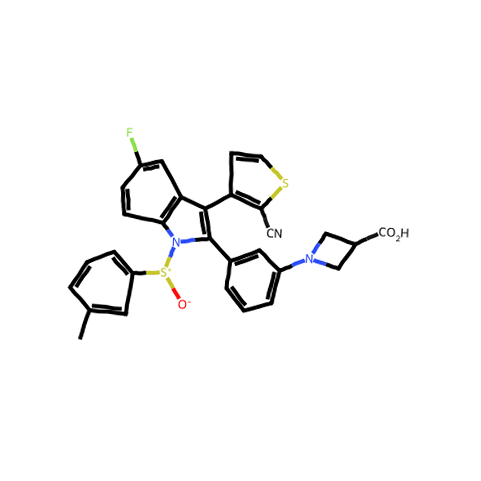 Cc1cccc([S+]([O-])n2c(-c3cccc(N4CC(C(=O)O)C4)c3)c(-c3ccsc3C#N)c3cc(F)ccc32)c1